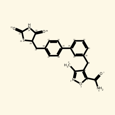 Cc1noc(C(N)=O)c1Cc1cccc(-c2ccc(CC3SC(=O)NC3=O)cc2)c1